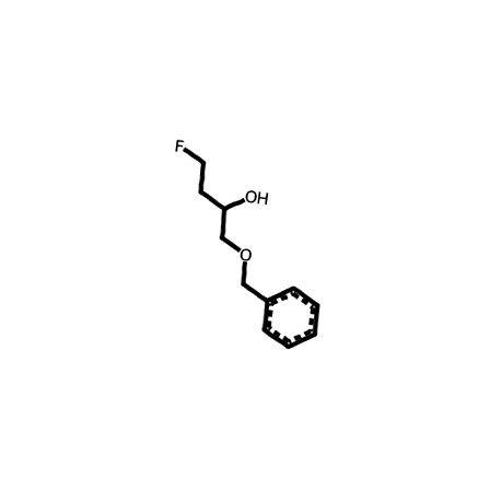 OC(CCF)COCc1ccccc1